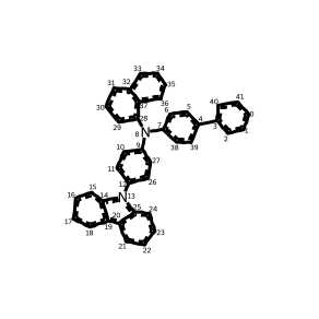 c1ccc(-c2ccc(N(c3ccc(-n4c5ccccc5c5ccccc54)cc3)c3cccc4ccccc34)cc2)cc1